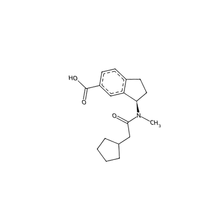 CN(C(=O)CC1CCCC1)[C@@H]1CCc2ccc(C(=O)O)cc21